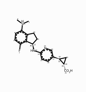 C[SiH](C)c1ccc(F)c2c1CC[C@H]2Nc1ccc([C@H]2C[C@@H]2C(=O)O)cn1